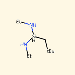 CCN[SiH](CC(C)(C)C)NCC